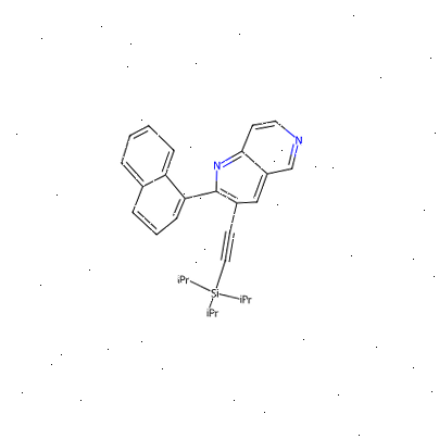 CC(C)[Si](C#Cc1cc2cnccc2nc1-c1cccc2ccccc12)(C(C)C)C(C)C